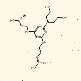 OCCN(CCO)c1nc(NCCN=S(O)O)nc(NCCN(O)S)n1